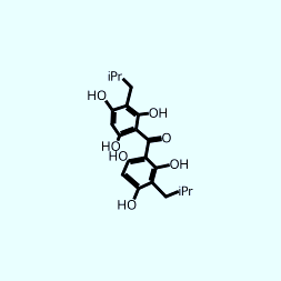 CC(C)Cc1c(O)cc(O)c(C(=O)c2c(O)cc(O)c(CC(C)C)c2O)c1O